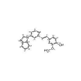 COc1cc(/C=C/c2cccc(-n3cnc4ccccc43)c2)ccc1O